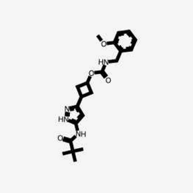 COc1ccccc1CNC(=O)OC1CC(c2cc(NC(=O)C(C)(C)C)[nH]n2)C1